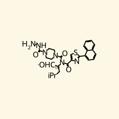 CC(C)C[C@@H]([C]=O)N(C(=O)c1csc(-c2cccc3ccccc23)n1)C(=O)N1CCN(C(=O)NN)CC1